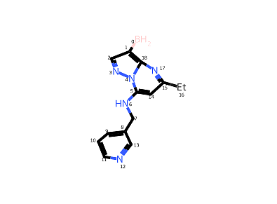 Bc1cnn2c(NCc3cccnc3)cc(CC)nc12